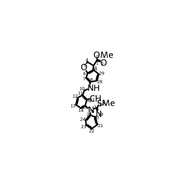 COC(=O)C1COc2cc(NCc3cccc(-n4c(SC)nc5ccccc54)c3C)ccc21